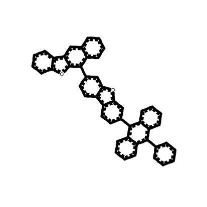 c1ccc(-c2c3ccccc3c(-c3ccc4c(c3)oc3cc(-c5c6ccccc6cc6c5oc5ccccc56)ccc34)c3ccccc23)cc1